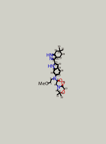 COCCN(C(=O)CN1CC(C)(C)OCC1=O)c1ccc2cc(-c3n[nH]c4c3CCC(C)(C)C4)[nH]c2c1